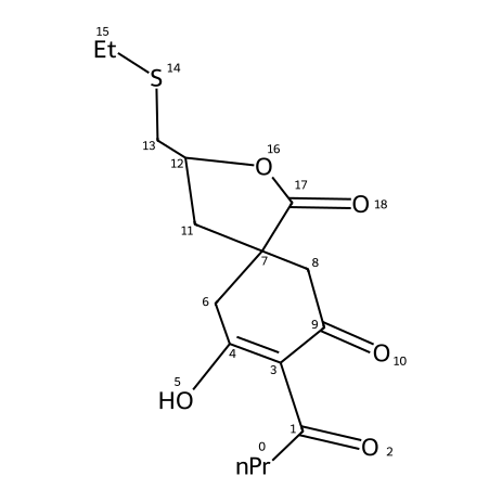 CCCC(=O)C1=C(O)CC2(CC1=O)CC(CSCC)OC2=O